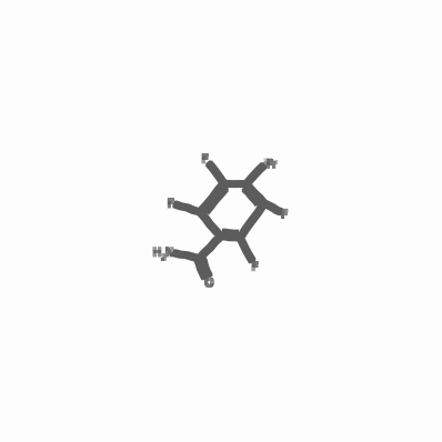 CC(C)c1c(F)c(F)c(C(N)=O)c(F)c1F